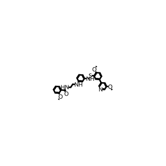 COc1cncc(-c2ccc(OC)c(SNc3cccc(NCCNC(=O)c4ccccc4OC)c3)c2)c1